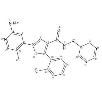 CC(=O)Nc1cc(-c2cc(C(=O)NCC3C=NC=CC3)c(-c3ccccc3Cl)o2)c(C)cn1